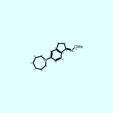 CO/N=C1\CCc2cc(N3CCCCCC3)ccc21